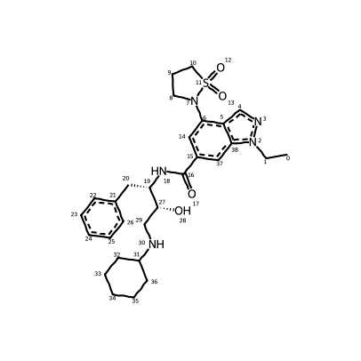 CCn1ncc2c(N3CCCS3(=O)=O)cc(C(=O)N[C@@H](Cc3ccccc3)[C@H](O)CNC3CCCCC3)cc21